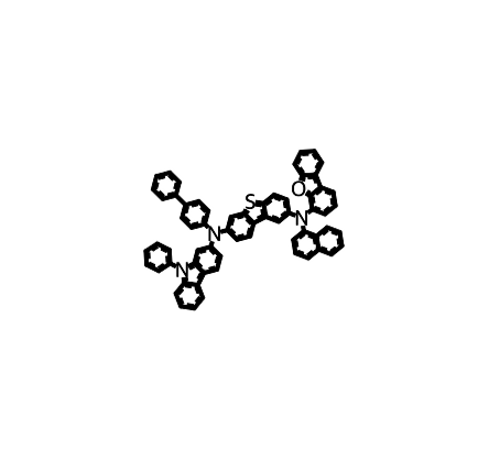 c1ccc(-c2ccc(N(c3ccc4c(c3)sc3ccc(N(c5cccc6ccccc56)c5cccc6c5oc5ccccc56)cc34)c3ccc4c5ccccc5n(-c5ccccc5)c4c3)cc2)cc1